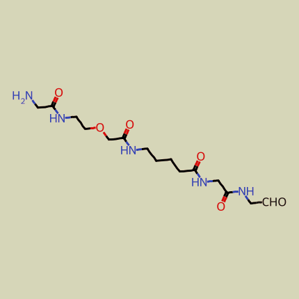 NCC(=O)NCCOCC(=O)NCCCCC(=O)NCC(=O)NCC=O